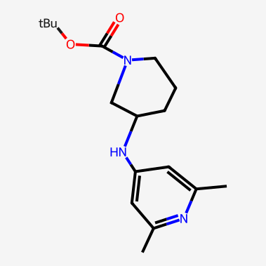 Cc1cc(NC2CCCN(C(=O)OC(C)(C)C)C2)cc(C)n1